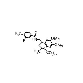 CCOC(=O)N1c2cc(OC)c(OC)cc2C(CNC(=O)c2ccc(C(F)(F)F)c(F)c2)CC1C